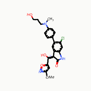 COc1cc(/C(O)=C2\C(=O)Nc3cc(Cl)c(-c4ccc(N(C)CCCO)cc4)cc32)on1